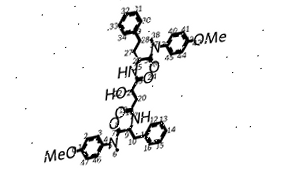 COc1ccc(N(C)C(=O)C(Cc2ccccc2)NC(=O)C[C@H](O)C(=O)N[C@@H](CCc2ccccc2)C(=O)N(C)c2ccc(OC)cc2)cc1